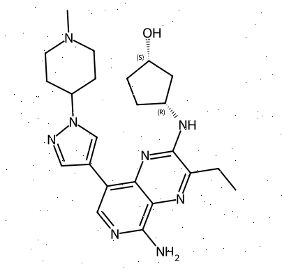 CCc1nc2c(N)ncc(-c3cnn(C4CCN(C)CC4)c3)c2nc1N[C@@H]1CC[C@H](O)C1